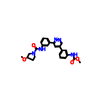 COC(=O)Nc1cccc(-c2cnnc(-c3cccc(NC(=O)N4CC[C@@H](OC)C4)c3)c2)c1